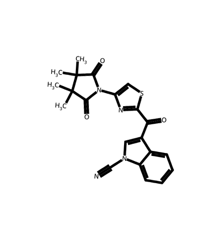 CC1(C)C(=O)N(c2csc(C(=O)c3cn(C#N)c4ccccc34)n2)C(=O)C1(C)C